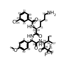 COc1ccc([C@H](NC(=O)[C@H](CCCCN)NC(=O)c2cccc(Cl)c2)C(=O)N[C@H](C(=O)C(F)(F)F)C(C)C)cc1